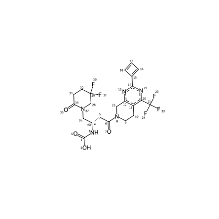 O=C(O)N[C@@H](CC(=O)N1CCc2c(nc(C3=CC=C3)nc2C(F)(F)F)C1)CN1CC(F)(F)CCC1=O